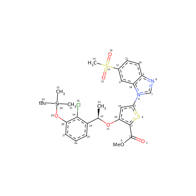 COC(=O)c1sc(-n2cnc3ccc(S(C)(=O)=O)cc32)cc1O[C@H](C)c1cccc(O[Si](C)(C)C(C)(C)C)c1Cl